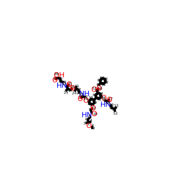 CCOC(C)(C)CCNC(=O)COc1cc(OCC(=O)NCCC(C)(C)OCC(C)C(=O)NCCCC(=O)O)cc(-c2cc(OCC(=O)NCCC(C)C)cc(C(=O)OCc3ccccc3)c2)c1